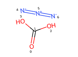 O=C(O)O.[N-]=[N+]=[N-]